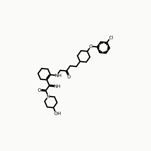 N=C(C(=O)N1CCC(O)CC1)C1=C(NCC(=O)CCC2CCC(Oc3cccc(Cl)c3)CC2)CCCC1